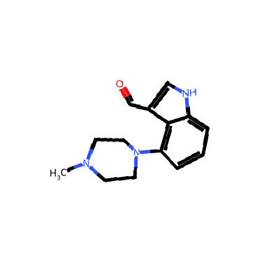 CN1CCN(c2cccc3[nH]cc(C=O)c23)CC1